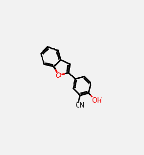 N#Cc1cc(-c2cc3ccccc3o2)ccc1O